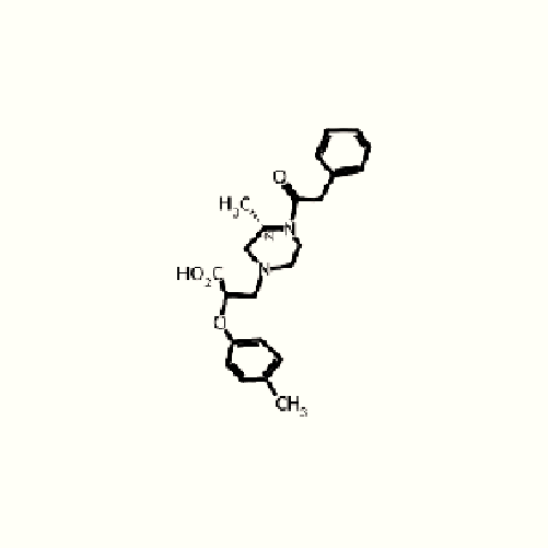 Cc1ccc(OC(CN2CCN(C(=O)Cc3ccccc3)[C@@H](C)C2)C(=O)O)cc1